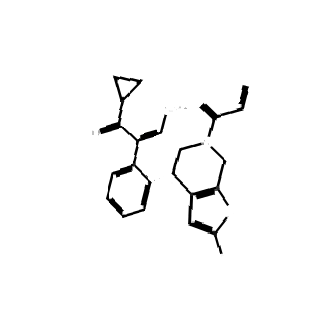 C=CC(=O)N1Cc2sc(Cl)cc2[C@H](c2ccccc2/C(=C/NC)C(=N)C2CC2)C1